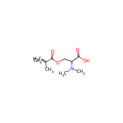 C.C=C(C)C(=O)OCC(C(=O)O)N(C)C